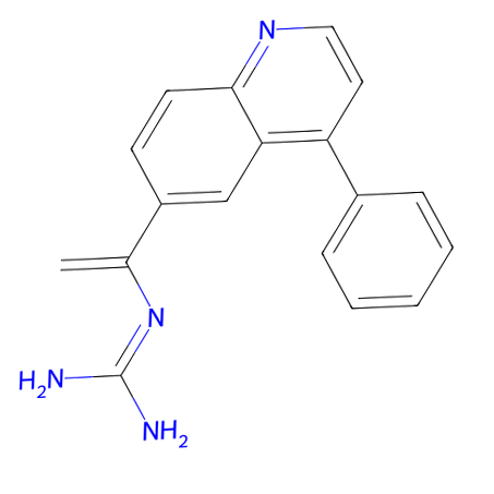 C=C(N=C(N)N)c1ccc2nccc(-c3ccccc3)c2c1